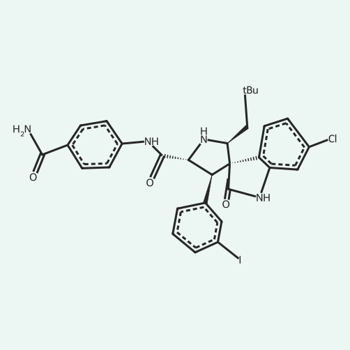 CC(C)(C)C[C@@H]1N[C@@H](C(=O)Nc2ccc(C(N)=O)cc2)[C@H](c2cccc(I)c2)[C@]12C(=O)Nc1cc(Cl)ccc12